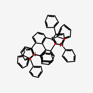 c1ccc(-c2ccccc2-c2cccc(-c3nc4ccccc4n3-c3ccccc3)c2-c2c(-c3ccccc3-c3ccccc3)cccc2-c2nc3ccccc3n2-c2ccccc2)cc1